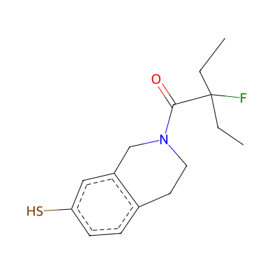 CCC(F)(CC)C(=O)N1CCc2ccc(S)cc2C1